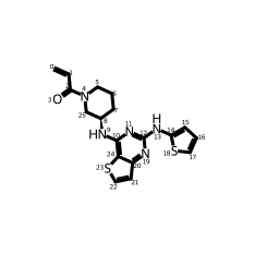 C=CC(=O)N1CCC[C@@H](Nc2nc(Nc3cccs3)nc3ccsc23)C1